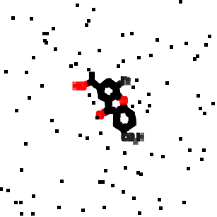 CCc1cc(C(C)O)cc2c(=O)c3cc(C(=O)O)ccc3oc12